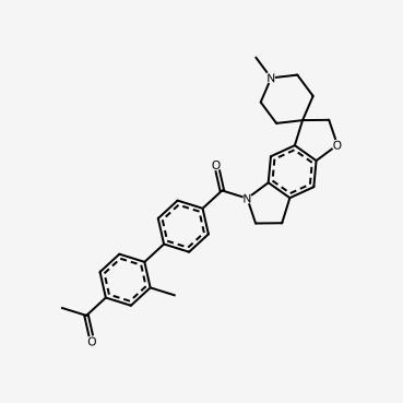 CC(=O)c1ccc(-c2ccc(C(=O)N3CCc4cc5c(cc43)C3(CCN(C)CC3)CO5)cc2)c(C)c1